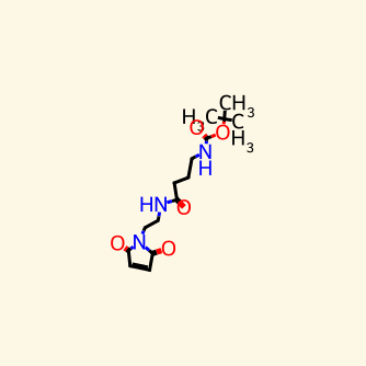 CC(C)(C)OC(=O)NCCCC(=O)NCCN1C(=O)C=CC1=O